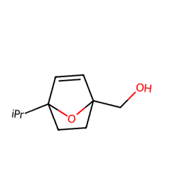 CC(C)C12C=CC(CO)(CC1)O2